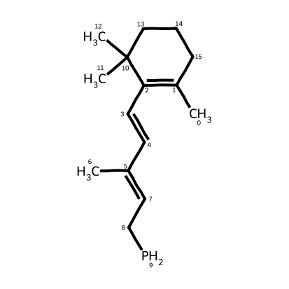 CC1=C(/C=C/C(C)=C/CP)C(C)(C)CCC1